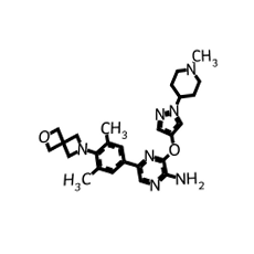 Cc1cc(-c2cnc(N)c(Oc3cnn(C4CCN(C)CC4)c3)n2)cc(C)c1N1CC2(COC2)C1